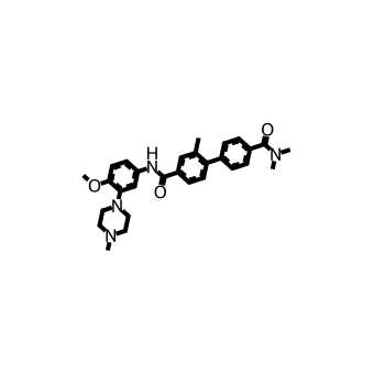 COc1ccc(NC(=O)c2ccc(-c3ccc(C(=O)N(C)C)cc3)c(C)c2)cc1N1CCN(C)CC1